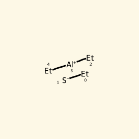 CC[S-].C[CH2][Al+][CH2]C